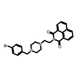 O=C1c2cccc3cccc(c23)C(=O)N1CCN1CCN(Cc2ccc(Br)cc2)CC1